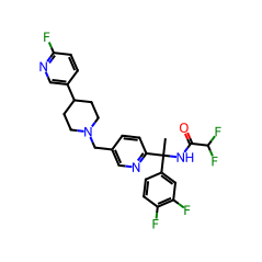 CC(NC(=O)C(F)F)(c1ccc(F)c(F)c1)c1ccc(CN2CCC(c3ccc(F)nc3)CC2)cn1